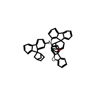 c1ccc2c(c1)-c1ccc(N(c3ccc4c(c3)oc3ccccc34)c3cccc4c3C3(c5ccccc5-4)C4CCC5CC(C4)CC3C5)cc1C21CC2CCC1C2